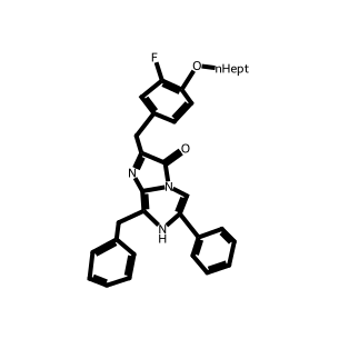 CCCCCCCOc1ccc(Cc2nc3c(Cc4ccccc4)[nH]c(-c4ccccc4)cn-3c2=O)cc1F